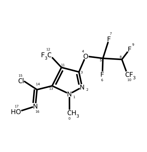 Cn1nc(OC(F)(F)C(F)C(F)(F)F)c(C(F)(F)F)c1/C(Cl)=N/O